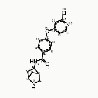 O=C(NC1CC2CC1CN2)c1ccc(Oc2ccnc(Cl)c2)cc1